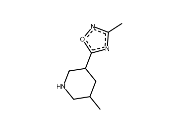 Cc1noc(C2CNCC(C)C2)n1